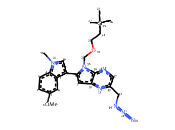 COc1ccc2c(c1)c(-c1cc3nc(CN=[N+]=[N-])cnc3n1COCC[Si](C)(C)C)cn2C